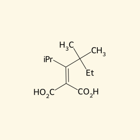 CCC(C)(C)C(=C(C(=O)O)C(=O)O)C(C)C